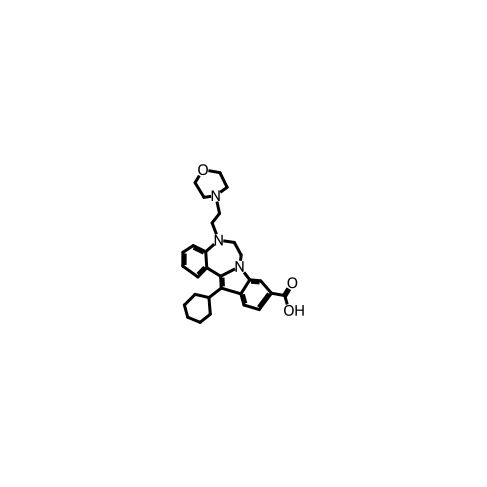 O=C(O)c1ccc2c(C3CCCCC3)c3n(c2c1)CCN(CCN1CCOCC1)c1ccccc1-3